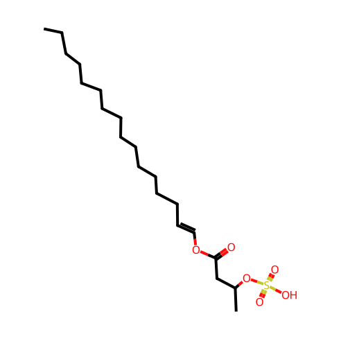 CCCCCCCCCCCCCCC=COC(=O)CC(C)OS(=O)(=O)O